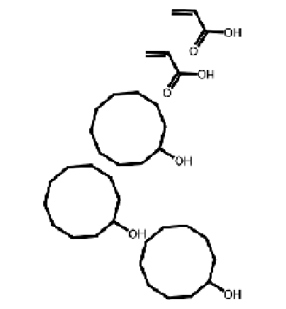 C=CC(=O)O.C=CC(=O)O.OC1CCCCCCCCC1.OC1CCCCCCCCC1.OC1CCCCCCCCC1